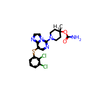 CC1(OC(N)=O)CCN(c2ncc(Sc3cccc(Cl)c3Cl)c3nccn23)CC1